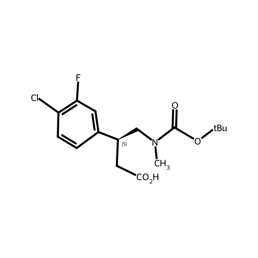 CN(C[C@@H](CC(=O)O)c1ccc(Cl)c(F)c1)C(=O)OC(C)(C)C